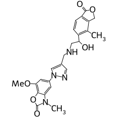 COc1cc(-n2cc(CNCC(O)c3ccc4c(c3C)COC4=O)cn2)cc2c1oc(=O)n2C